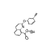 C#Cc1cccc(Oc2ccc3cccc(C(=O)OC(C)(C)C)c3n2)c1